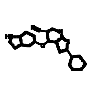 N#Cc1cnc2sc(-c3ccccc3)cc2c1Oc1ccc2[nH]ccc2c1